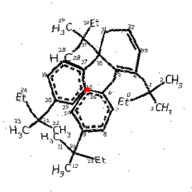 CCC(C)(C)C1=C(c2ccc(C(C)(C)CC)cc2)C(c2ccc(C(C)(C)CC)cc2)(C(C)(C)CC)[CH]C=C1